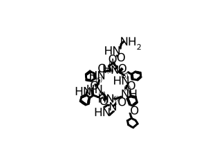 NCCNC(=O)O[C@@H]1C[C@H]2C(=O)N[C@@H](c3ccccc3)C(=O)N[C@H](Cc3c[nH]c4ccccc34)C(=O)N[C@@H](CN3CCNCC3)C(=O)N[C@@H](Cc3ccc(OCC4CCCCC4)cc3)C(=O)N[C@@H](Cc3ccccc3)C(=O)N2C1